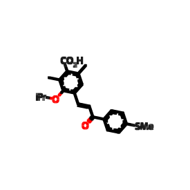 CSc1ccc(C(=O)C=Cc2cc(C)c(C(=O)O)c(C)c2OC(C)C)cc1